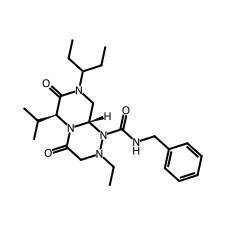 CCC(CC)N1C[C@H]2N(C(=O)CN(CC)N2C(=O)NCc2ccccc2)[C@@H](C(C)C)C1=O